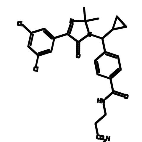 CC1(C)N=C(c2cc(Cl)cc(Cl)c2)C(=O)N1C(c1ccc(C(=O)NCCC(=O)O)cc1)C1CC1